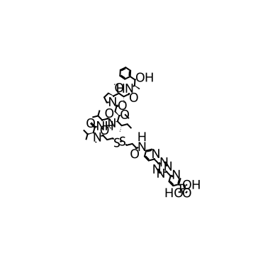 CC[C@H](C)[C@@H]([C@@H](CC(=O)N1CCC[C@H]1[C@H](OC)[C@@H](C)C(=O)N[C@H](C)[C@@H](O)c1ccccc1)OC)N(C)C(=O)[C@@H](NC(=O)[C@H](C(C)C)N(C)C(=O)CCSSCCC(=O)Nc1ccc(-c2nnc(-c3ccc(P(=O)(O)O)cn3)nn2)nc1)C(C)C